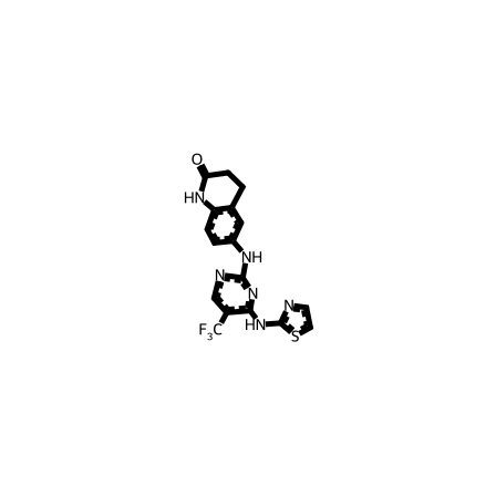 O=C1CCc2cc(Nc3ncc(C(F)(F)F)c(Nc4nccs4)n3)ccc2N1